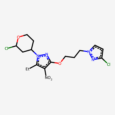 CCc1c([N+](=O)[O-])c(OCCCn2ccc(Cl)n2)nn1C1CCOC(Cl)C1